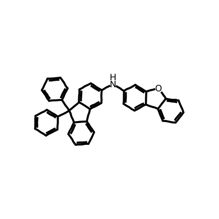 c1ccc(C2(c3ccccc3)c3ccccc3-c3cc(Nc4ccc5c(c4)oc4ccccc45)ccc32)cc1